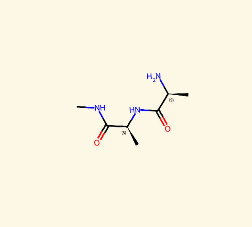 CNC(=O)[C@H](C)NC(=O)[C@H](C)N